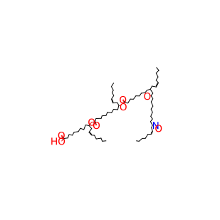 CCCCC/C=C\CC(CCCCCCCCC(=O)OC(C/C=C\CCCCC)CCCCCCCCC(=O)OC(C/C=C\CCCCC)CCCCCCCCC(=O)O)CC(=O)CCCCCCCCC(C/C=C\CCCCC)N=O